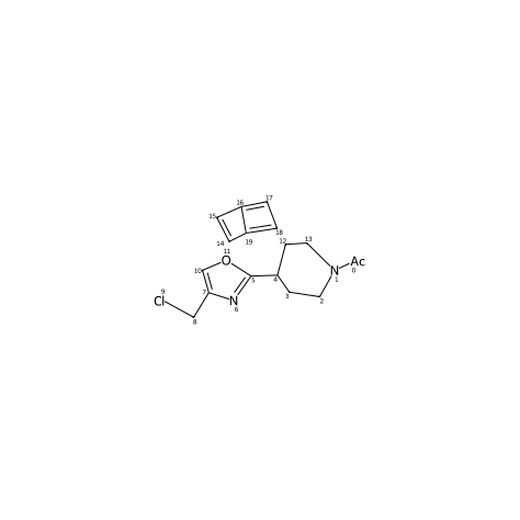 CC(=O)N1CCC(c2nc(CCl)co2)CC1.c1cc2ccc1-2